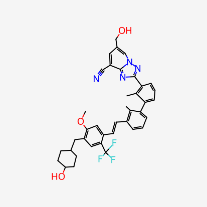 COc1cc(/C=C/c2cccc(-c3cccc(-c4nc5c(C#N)cc(CO)cn5n4)c3C)c2C)c(C(F)(F)F)cc1CC1CCC(O)CC1